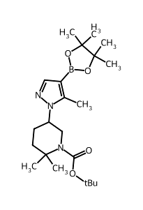 Cc1c(B2OC(C)(C)C(C)(C)O2)cnn1C1CCC(C)(C)N(C(=O)OC(C)(C)C)C1